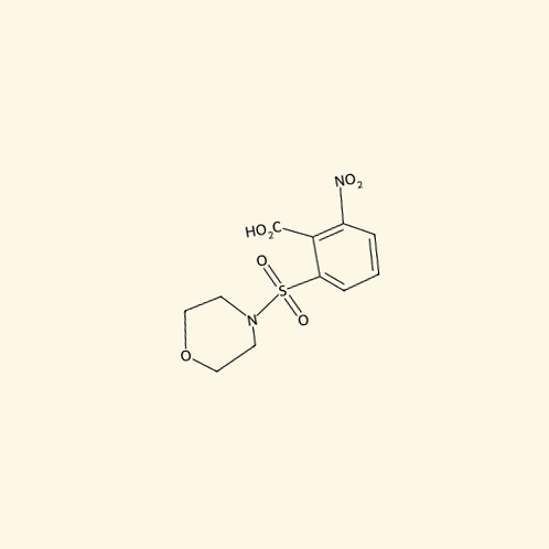 O=C(O)c1c([N+](=O)[O-])cccc1S(=O)(=O)N1CCOCC1